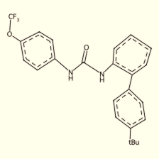 CC(C)(C)c1ccc(-c2ccccc2NC(=O)Nc2ccc(OC(F)(F)F)cc2)cc1